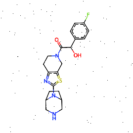 O=C(C(O)c1ccc(F)cc1)N1CCc2nc(N3C4CCC3CNC4)sc2C1